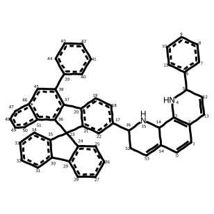 C1=CC2=C(NC(c3ccccc3)C=C2)C2NC(c3ccc4c(c3)C3(c5ccccc5-c5ccccc53)c3c-4c(-c4ccccc4)cc4ccccc34)CC=C12